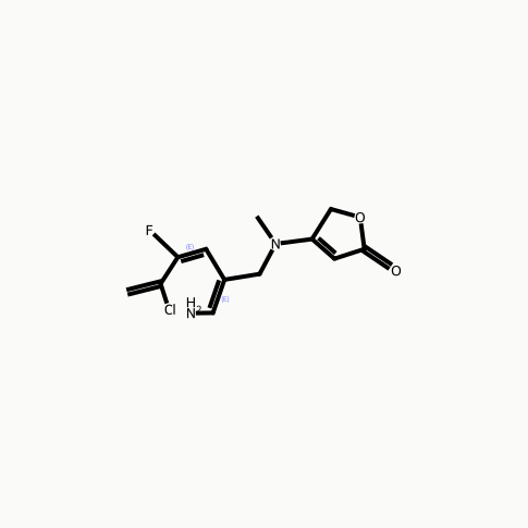 C=C(Cl)/C(F)=C\C(=C/N)CN(C)C1=CC(=O)OC1